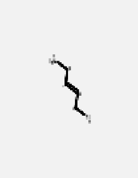 CCC=C[CH]Cl